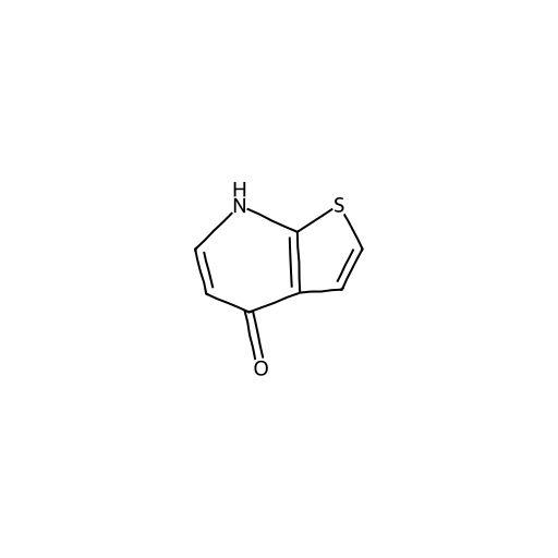 O=c1cc[nH]c2sccc12